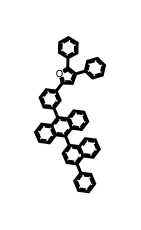 c1ccc(-c2cc(-c3cccc(-c4c5ccccc5c(-c5ccc(-c6ccccc6)c6ccccc56)c5ccccc45)c3)oc2-c2ccccc2)cc1